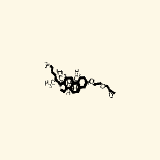 CC(C)CCC[C@@H](C)[C@H]1CC[C@H]2[C@@H]3CC=C4C[C@@H](OCCOCC5CO5)CC[C@]4(C)[C@H]3CC[C@]12C